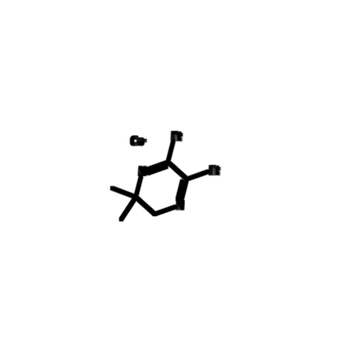 CCC1=NCC(C)(C)N=C1CC.[Co]